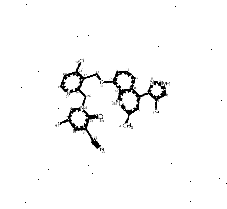 Cc1cc(-c2n[nH]cc2Cl)c2cccc(OCc3c(Cl)ccnc3Cn3cc(F)cc(C#N)c3=O)c2n1